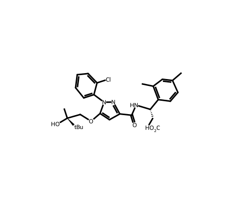 Cc1ccc([C@H](CC(=O)O)NC(=O)c2cc(OC[C@@](C)(O)C(C)(C)C)n(-c3ccccc3Cl)n2)c(C)c1